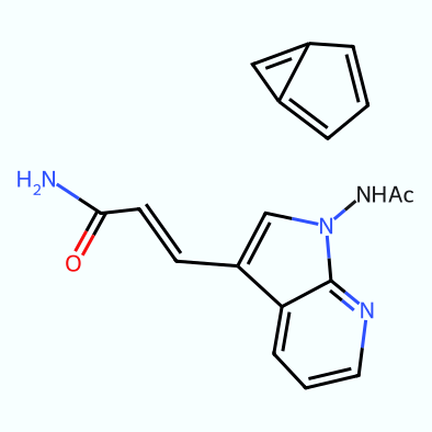 CC(=O)Nn1cc(C=CC(N)=O)c2cccnc21.c1cc2cc-2c1